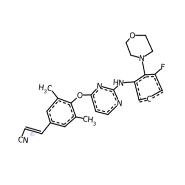 Cc1cc(/C=C/C#N)cc(C)c1Oc1ccnc(Nc2cccc(F)c2N2CCOCC2)n1